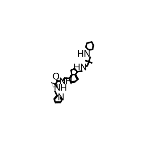 C[C@H](NCc1ccccn1)C(=O)NCc1cccc2c1CCC2CNCC(C)(C)CNC1CCCCC1